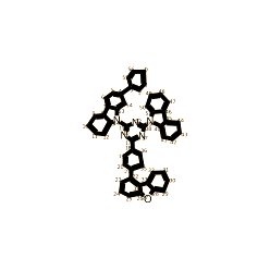 c1ccc(-c2ccc3c4ccccc4n(-c4nc(-c5ccc(-c6cccc7oc8ccccc8c67)cc5)nc(-n5c6ccccc6c6ccccc65)n4)c3c2)cc1